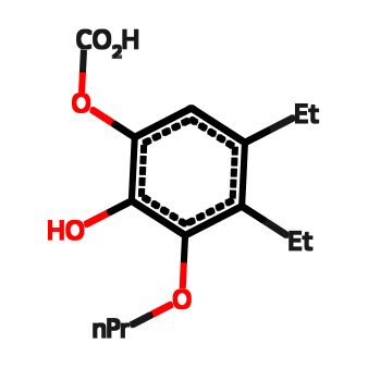 CCCOc1c(O)c(OC(=O)O)cc(CC)c1CC